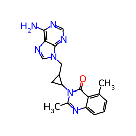 Cc1cccc2nc(C)n(C3CC3Cn3cnc4c(N)ncnc43)c(=O)c12